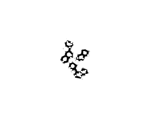 c1ccc2cc(N(c3ccc4sc5ccc6ccccc6c5c4c3)c3cc4c5ccccc5sc4c4ccccc34)ccc2c1